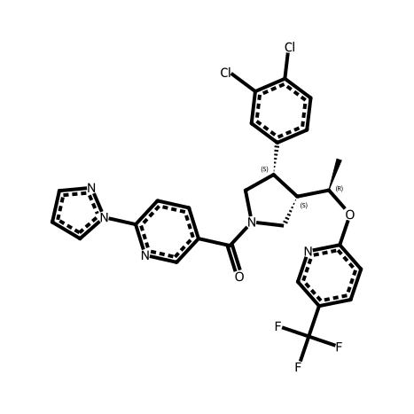 C[C@@H](Oc1ccc(C(F)(F)F)cn1)[C@@H]1CN(C(=O)c2ccc(-n3cccn3)nc2)C[C@@H]1c1ccc(Cl)c(Cl)c1